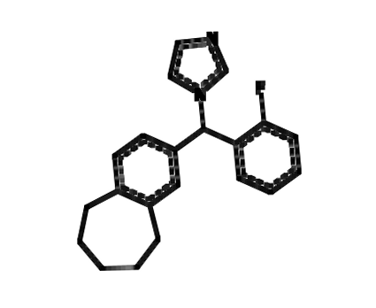 Fc1ccccc1C(c1ccc2c(c1)CCCCC2)n1ccnc1